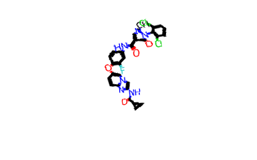 Cn1cc(C(=O)Nc2ccc(Oc3ccc4nc(NC(=O)C5CC5)cn4c3)c(F)c2)c(=O)n1-c1c(Cl)cccc1Cl